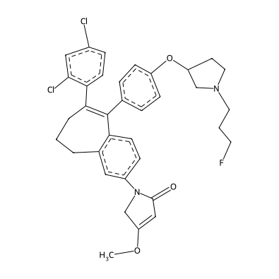 COC1=CC(=O)N(c2ccc3c(c2)CCCC(c2ccc(Cl)cc2Cl)=C3c2ccc(OC3CCN(CCCF)C3)cc2)C1